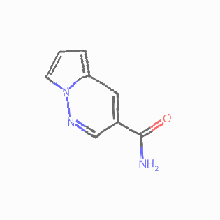 NC(=O)c1cnn2cccc2c1